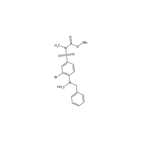 CN(C(=O)OC(C)(C)C)S(=O)(=O)c1ccc(N(Cc2ccccc2)C(=O)O)c(Br)c1